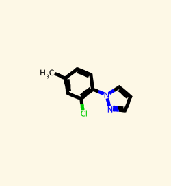 Cc1ccc(-n2cccn2)c(Cl)c1